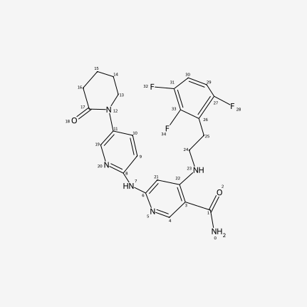 NC(=O)c1cnc(Nc2ccc(N3CCCCC3=O)cn2)cc1NCCc1c(F)ccc(F)c1F